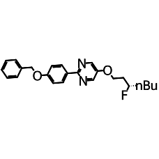 CCCC[C@H](F)CCOc1cnc(-c2ccc(OCc3ccccc3)cc2)nc1